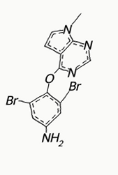 Cn1ccc2c(Oc3c(Br)cc(N)cc3Br)ncnc21